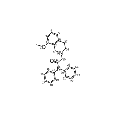 COc1cccc2c1CN(CC(=O)N(c1ccccc1)c1ccccc1)CC2